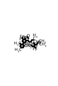 Cc1cc(C)c(-c2cc(C(F)(F)F)c(F)c([C@H](CC(=O)O)C(N)C(CC(C)C)n3cc(CCN(C)C)c(C(F)(F)F)cc3=O)c2F)c(C)c1